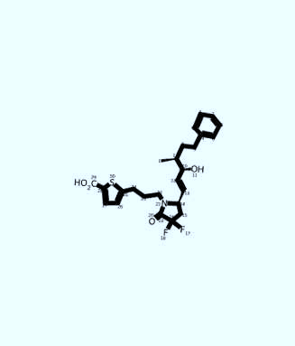 C[C@@H](CCc1ccccc1)[C@@H](O)/C=C/[C@H]1CC(F)(F)C(=O)N1CCCc1ccc(C(=O)O)s1